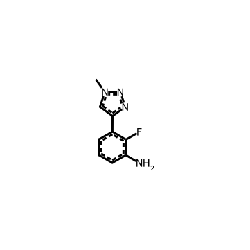 Cn1cc(-c2cccc(N)c2F)nn1